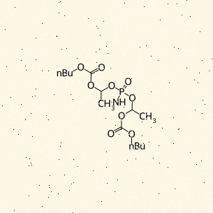 CCCCOC(=O)OC(C)OP([NH])(=O)OC(C)OC(=O)OCCCC